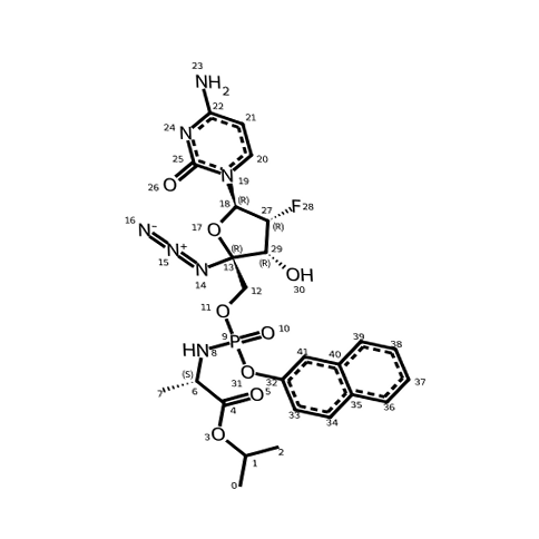 CC(C)OC(=O)[C@H](C)NP(=O)(OC[C@@]1(N=[N+]=[N-])O[C@@H](n2ccc(N)nc2=O)[C@H](F)[C@@H]1O)Oc1ccc2ccccc2c1